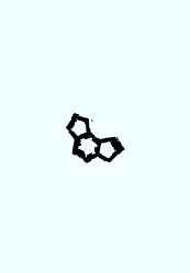 [CH]1C=Cc2ccc3c(c21)C=CC3